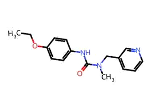 CCOc1ccc(NC(=O)N(C)Cc2cccnc2)cc1